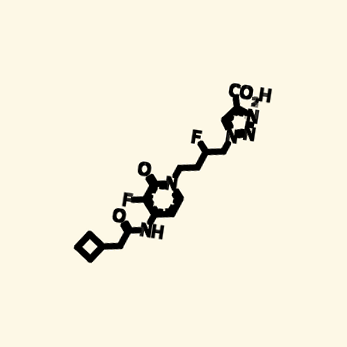 O=C(CC1CCC1)Nc1ccn(CCC(F)Cn2cc(C(=O)O)nn2)c(=O)c1F